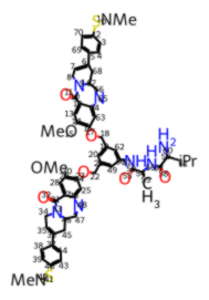 CNSc1ccc(C2=CCN3C(=O)c4cc(OC)c(OCc5cc(COc6cc7c(cc6OC)C(=O)N6CC=C(c8ccc(SNC)cc8)CC6C=N7)cc(NC(=O)C(C)NC(=O)C(N)C(C)C)c5)cc4N=CC3C2)cc1